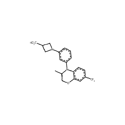 CC1COc2cc(C(F)(F)F)ccc2N1c1cccc(N2CC(C(=O)O)C2)c1